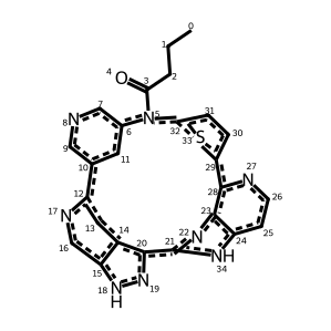 CCCC(=O)n1c2cncc(c2)c2cc3c(cn2)[nH]nc3c2nc3c(ccnc3c3ccc1s3)[nH]2